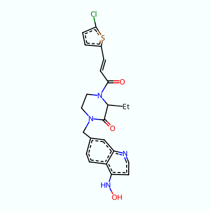 CCC1C(=O)N(Cc2ccc3c(NO)ccnc3c2)CCN1C(=O)C=Cc1ccc(Cl)s1